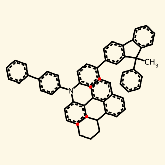 CC1(c2ccccc2)c2ccccc2-c2ccc(-c3ccc(N(c4ccc(-c5ccccc5)cc4)c4ccccc4-c4cccc5cccc(C6CCCCC6)c45)cc3)cc21